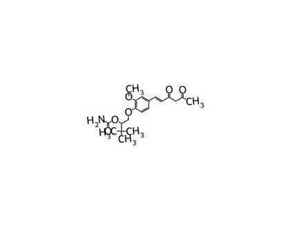 COc1cc(/C=C/C(=O)CC(C)=O)ccc1OCC(OC(N)=O)C(C)(C)C